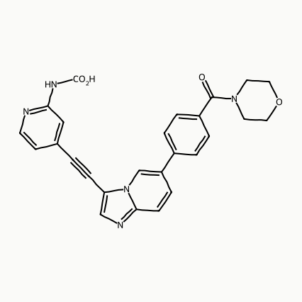 O=C(O)Nc1cc(C#Cc2cnc3ccc(-c4ccc(C(=O)N5CCOCC5)cc4)cn23)ccn1